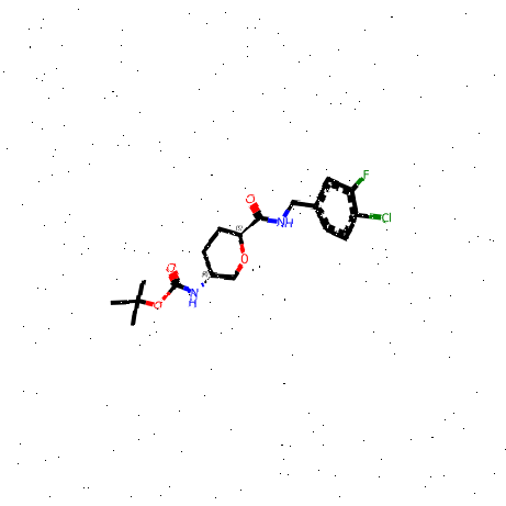 CC(C)(C)OC(=O)N[C@@H]1CC[C@@H](C(=O)NCc2ccc(Cl)c(F)c2)OC1